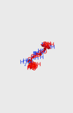 CSSC(C)c1ccccc1C(=O)OC1C[C@H](n2cc(C#CCNC(=O)COCCOC(COc3cccc(C(=O)NCCNC(=O)c4ccc(C5=c6cc7c(c(S(=O)(=O)O)c6Oc6c5cc5c(c6S(=O)(=O)O)NC(C)C5(C)C)=NC(C)C7(C)C)cc4)c3)N=[N+]=[N-])c3c(=O)[nH]c(N)nc32)O[C@@H]1COP(=O)(O)OP(=O)(O)OP(=O)(O)O